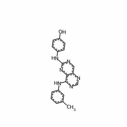 Cc1cccc(Nc2ncnc3cnc(Nc4ccc(O)cc4)nc23)c1